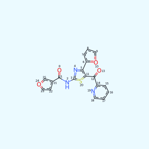 O=C(Nc1nc(-c2ccco2)c(C(=O)c2ccccn2)s1)c1ccoc1